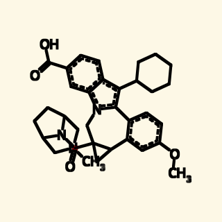 COc1ccc2c(c1)C1CC1(C(=O)N1C3CCC1CN(C)C3)Cn1c-2c(C2CCCCC2)c2ccc(C(=O)O)cc21